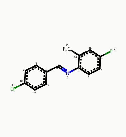 Fc1ccc(N=Cc2ccc(Cl)cc2)c(C(F)(F)F)c1